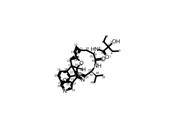 CCC(O)(CC)C(=O)N[C@H]1Cc2ccc3c(c2)C2(c4ccccc4N[C@H]2O3)c2oc(nc2-c2cnco2)[C@H](C(C)C)NC1=O